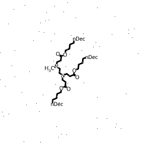 CCCCCCCCCCCCCCOC(=O)CCN(C)CCN(CCC(=O)OCCCCCCCCCCCCCC)CCC(=O)OCCCCCCCCCCCCCC